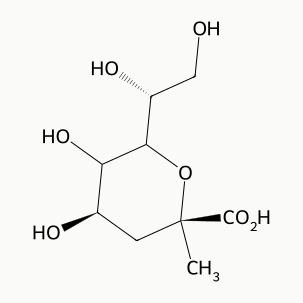 C[C@]1(C(=O)O)C[C@@H](O)C(O)C([C@H](O)CO)O1